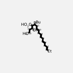 CCC=CCC=CCC=CCC=CCC(CCCC)C(C(=O)O)[C@H](O)CCO